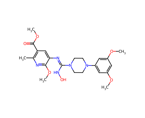 COC(=O)c1cc(N=C(NO)N2CCN(c3cc(OC)cc(OC)c3)CC2)c(OC)nc1C